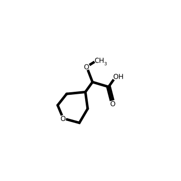 COC(C(=O)O)C1CCOCC1